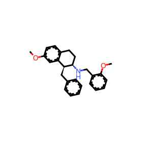 COc1ccc2c(c1)[C@H](Cc1ccccc1)[C@H](NCc1ccccc1OC)CC2